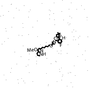 COc1cc(CCCCCOC2CN(C(C(=O)O)c3cc(F)ccc3C3CCC(C)(C)O3)C2)nc2c1CCCN2